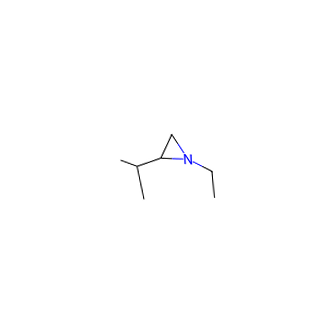 CCN1CC1C(C)C